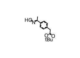 CC(=NO)c1ccc(CC(=O)OC(C)(C)C)cc1